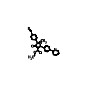 CCOC(=O)c1c(-c2ccc(-c3ccccn3)cc2)n(C)n(-c2ccc(C#N)cc2)c1=O